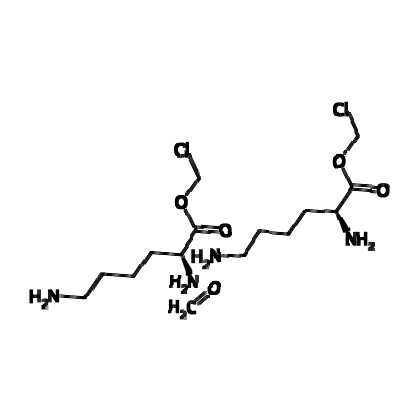 C=O.NCCCC[C@H](N)C(=O)OCCl.NCCCC[C@H](N)C(=O)OCCl